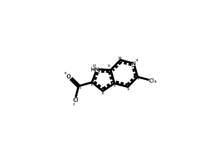 O=C(Cl)c1cc2cc(Cl)ncc2[nH]1